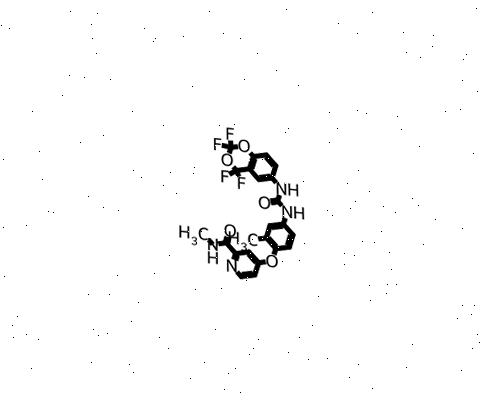 CNC(=O)c1cc(Oc2ccc(NC(=O)Nc3ccc4c(c3)C(F)(F)OC(F)(F)O4)cc2C)ccn1